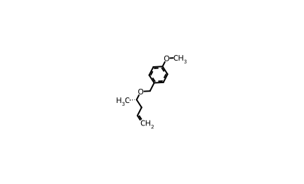 C=CC[C@H](C)OCc1ccc(OC)cc1